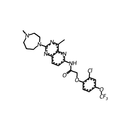 Cc1nc(N2CCCN(C)CC2)nc2ccc(NC(=O)COc3ccc(OC(F)(F)F)cc3Cl)nc12